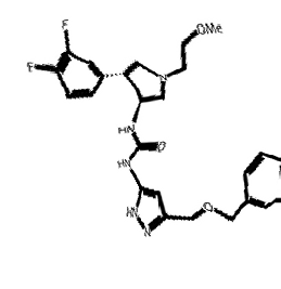 COCCN1C[C@@H](NC(=O)Nc2cc(COCc3ccccc3)n[nH]2)[C@H](c2ccc(F)c(F)c2)C1